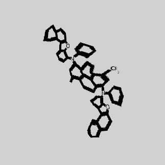 Cc1cc(N(c2ccccc2)c2cccc3c2oc2ccc4ccccc4c23)c2ccc3c(C(F)(F)F)cc(N(c4ccccc4)c4cccc5c4oc4ccc6ccccc6c45)c4ccc1c2c43